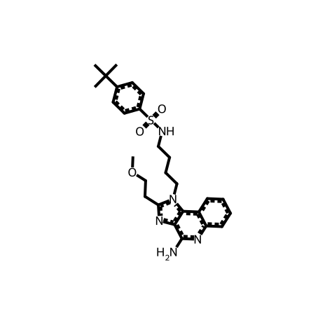 COCCc1nc2c(N)nc3ccccc3c2n1CCCCNS(=O)(=O)c1ccc(C(C)(C)C)cc1